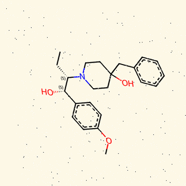 CC[C@@H]([C@@H](O)c1ccc(OC)cc1)N1CCC(O)(Cc2ccccc2)CC1